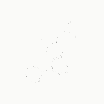 CC(C)Oc1cc2oc(=O)cc(-c3ccccn3)c2cc1Cl